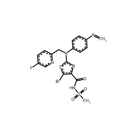 C=Nc1ccc(N(Cc2ccc(F)cn2)c2nc(C(=O)NS(C)(=O)=O)c(Br)s2)cc1